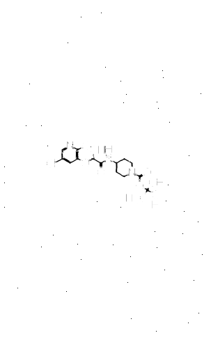 C[C@H](Oc1cc(Cl)cnc1Cl)C(=O)NC1CCN(C(=O)OC(C)(C)C)CC1